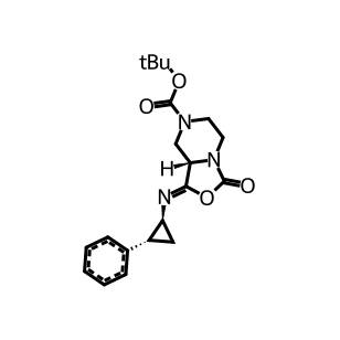 CC(C)(C)OC(=O)N1CCN2C(=O)O/C(=N\[C@H]3C[C@@H]3c3ccccc3)[C@@H]2C1